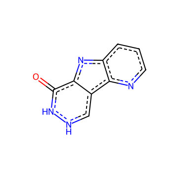 O=c1[nH][nH]cc2c3ncccc3nc1-2